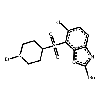 CCN1CCC(S(=O)(=O)c2c(Cl)ccc3nc(C(C)(C)C)oc23)CC1